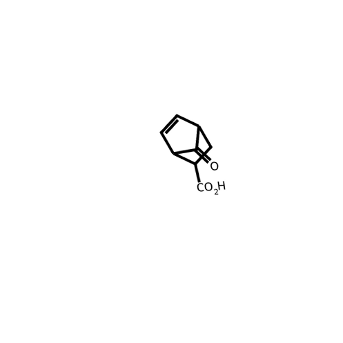 O=C1C2C=CC1C(C(=O)O)C2